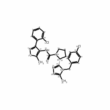 Cc1onc(-c2ccccc2Cl)c1NC(=O)N1CCC[C@@H]1c1nnc(C)n1Cc1ccc(Cl)cc1